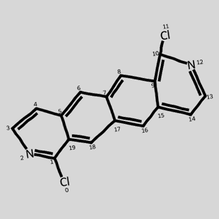 Clc1nccc2cc3cc4c(Cl)nccc4cc3cc12